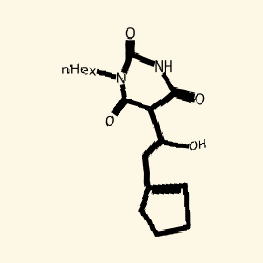 CCCCCCN1C(=O)NC(=O)C(C(O)CC2=CCCC2)C1=O